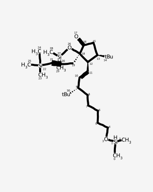 C[SiH](C)OCCCCC[C@@H](C=C[C@@H]1[C@H](C(C)(C)C)CC(=O)[C@]1(CC#C[Si](C)(C)C)O[SiH](C)C)C(C)(C)C